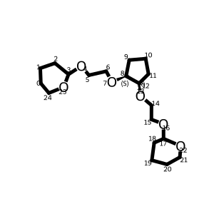 C1CCC(OCCO[C@H]2CCC[C@H]2OCCOC2CCCCO2)OC1